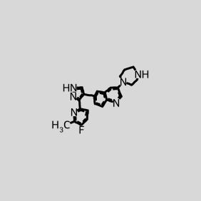 Cc1nc(-c2n[nH]cc2-c2ccc3ncc(N4CCCNCC4)cc3c2)ccc1F